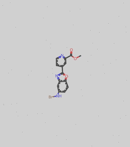 COC(=O)c1cc(-c2nc3cc(NBr)ccc3o2)ccn1